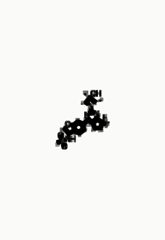 C[C@@H]1N(c2nc(-c3ccc4c(c3)OC[C@@H]4NS(C)(=O)=O)c3c(n2)C(F)(F)CC3)C[C@@]1(C)O